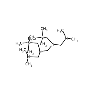 CN(C)CN(CN(CN(C)C)C[Si](C)(C)C)C[Si](C)(C)C